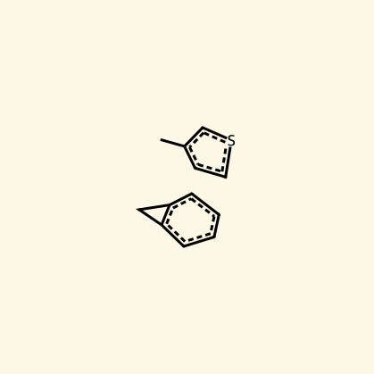 Cc1ccsc1.c1ccc2c(c1)C2